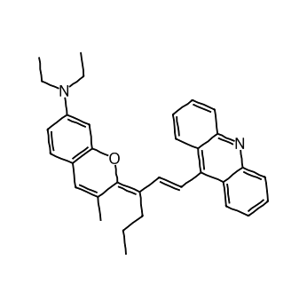 CCCC(/C=C/c1c2ccccc2nc2ccccc12)=C1/Oc2cc(N(CC)CC)ccc2C=C1C